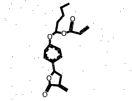 C=CC(=O)OC(CCCC)Oc1ccc(C2CC(=C)C(=O)O2)cc1